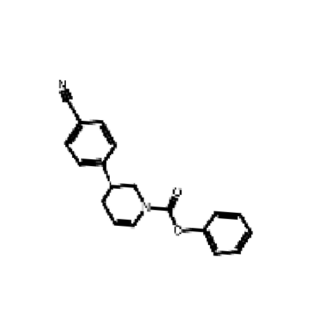 N#Cc1ccc([C@@H]2CC=CN(C(=O)Oc3ccccc3)C2)cc1